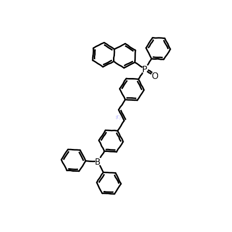 O=P(c1ccccc1)(c1ccc(/C=C/c2ccc(B(c3ccccc3)c3ccccc3)cc2)cc1)c1ccc2ccccc2c1